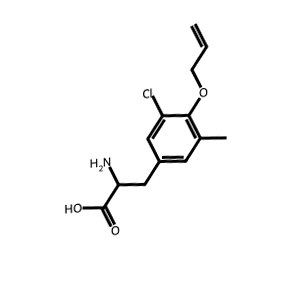 C=CCOc1c(C)cc(CC(N)C(=O)O)cc1Cl